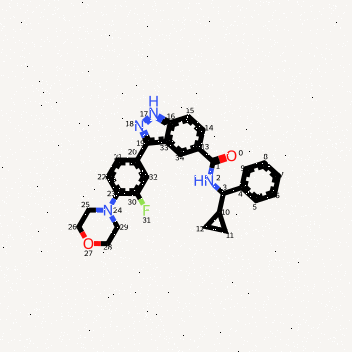 O=C(NC(c1ccccc1)C1CC1)c1ccc2[nH]nc(-c3ccc(N4CCOCC4)c(F)c3)c2c1